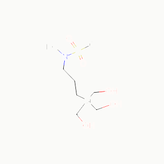 CN(CCC[Si](CO)(CO)CO)S(C)(=O)=O